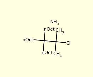 CCCCCCCCC(CCCCCCCC)(CCCCCCCC)C(C)(C)Cl.N